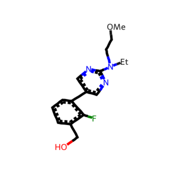 CCN(CCOC)c1ncc(-c2cccc(CO)c2F)cn1